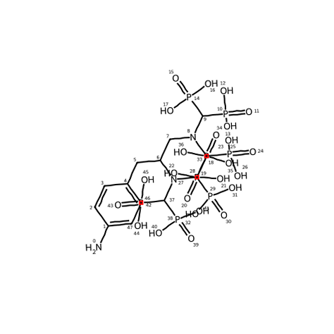 Nc1ccc(CC(CN(C(P(=O)(O)O)P(=O)(O)O)C(P(=O)(O)O)P(=O)(O)O)N(C(P(=O)(O)O)P(=O)(O)O)C(P(=O)(O)O)P(=O)(O)O)cc1